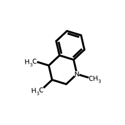 CC1CN(C)c2ccccc2C1C